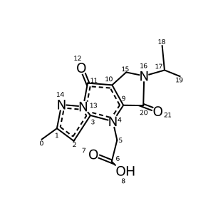 Cc1cc2n(CC(=O)O)c3c(c(=O)n2n1)CN(C(C)C)C3=O